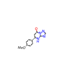 COc1ccc(-c2cc(=O)n3ncnc3[nH]2)cc1